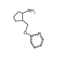 NC1CCCC1COc1ccccn1